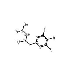 C[C@H](Cc1cc(F)c(Br)c(F)c1)N[S+]([O-])C(C)(C)C